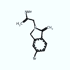 C=C(CN1Cc2cc(Br)ccc2C1=C)NC